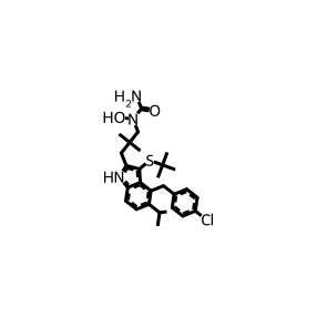 CC(C)c1ccc2[nH]c(CC(C)(C)CN(O)C(N)=O)c(SC(C)(C)C)c2c1Cc1ccc(Cl)cc1